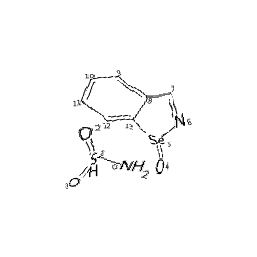 N[SH](=O)=O.O=[Se]1N=Cc2ccccc21